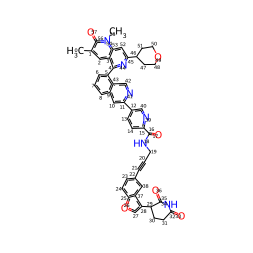 Cc1cc2c(-c3cccc4cc(-c5ccc(C(=O)NCC#Cc6ccc7occ(C8CCC(=O)NC8=O)c7c6)nc5)ncc34)nc(C3CCOCC3)cc2n(C)c1=O